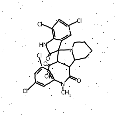 CN(C(=O)C1C2CCCCN2C2(C(=O)Nc3c(Cl)cc(Cl)cc32)C1C(=O)O)c1cc(Cl)cc(Cl)c1